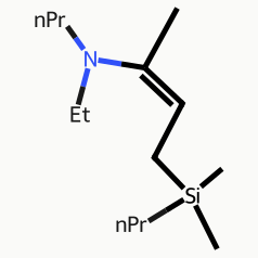 CCCN(CC)/C(C)=C\C[Si](C)(C)CCC